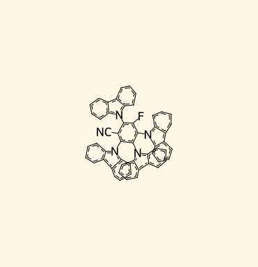 N#Cc1c(-n2c3ccccc3c3ccccc32)c(F)c(-n2c3ccccc3c3ccccc32)c(-n2c3ccccc3c3ccccc32)c1-n1c2ccccc2c2ccccc21